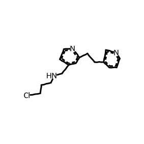 ClCCCNCc1ccnc(CCc2cccnc2)c1